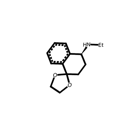 CCN[C@H]1CCC2(OCCO2)c2ccccc21